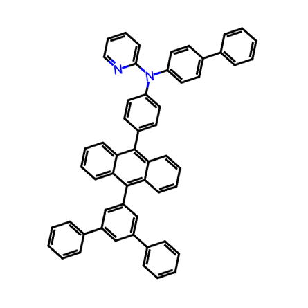 c1ccc(-c2ccc(N(c3ccc(-c4c5ccccc5c(-c5cc(-c6ccccc6)cc(-c6ccccc6)c5)c5ccccc45)cc3)c3ccccn3)cc2)cc1